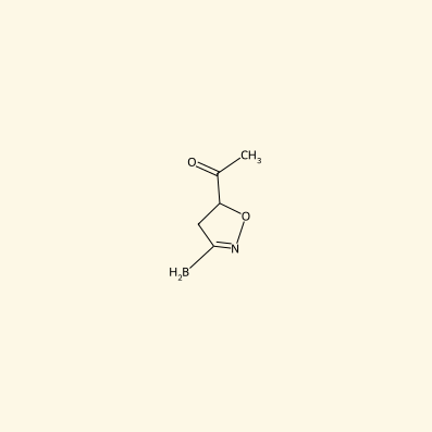 BC1=NOC(C(C)=O)C1